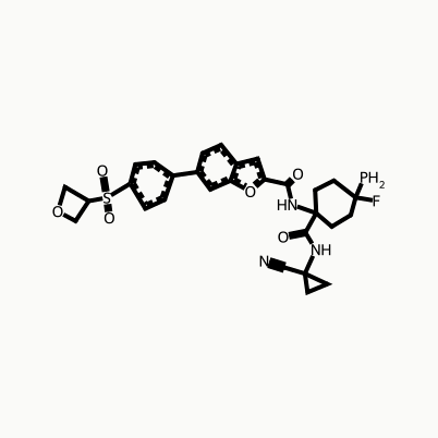 N#CC1(NC(=O)C2(NC(=O)c3cc4ccc(-c5ccc(S(=O)(=O)C6COC6)cc5)cc4o3)CCC(F)(P)CC2)CC1